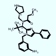 COCC(=O)N(C[C@@H]1CCNC1)[C@@H](c1nc(-c2ccccc2)cn1Cc1cccc(N)c1)C(C)(C)C